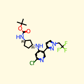 CC(C)(C)OC(=O)N[C@@H]1CC[C@@H](Nc2cc(Cl)ncc2-c2ccn(CC(F)(F)F)n2)C1